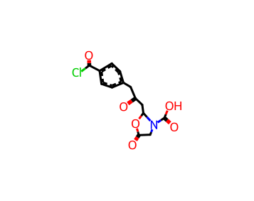 O=C(Cc1ccc(C(=O)Cl)cc1)CC1OC(=O)CN1C(=O)O